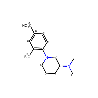 CN(C)[C@H]1CCCN(c2ccc(C(=O)O)cc2C(F)(F)F)C1